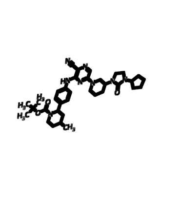 CC1CCN(C(=O)OC(C)(C)C)C(c2ccc(Nc3nc(N4CCCC(N5CCN(C6CCCC6)C5=O)C4)cnc3C#N)cc2)C1